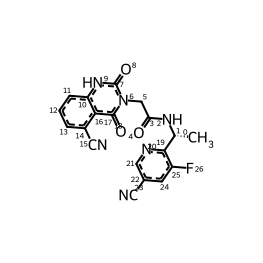 C[C@@H](NC(=O)Cn1c(=O)[nH]c2cccc(C#N)c2c1=O)c1ncc(C#N)cc1F